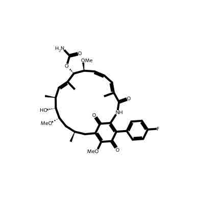 COC1=C2C[C@@H](C)C[C@H](OC)[C@H](O)[C@@H](C)/C=C(\C)[C@H](OC(N)=O)[C@@H](OC)/C=C\C=C(/C)C(=O)NC(=C(c3ccc(F)cc3)C1=O)C2=O